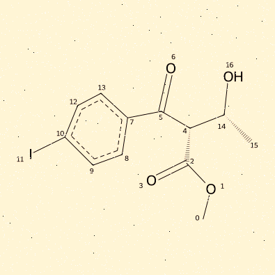 COC(=O)[C@H](C(=O)c1ccc(I)cc1)[C@@H](C)O